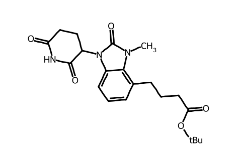 Cn1c(=O)n(C2CCC(=O)NC2=O)c2cccc(CCCC(=O)OC(C)(C)C)c21